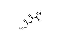 O=C(CC(=O)C(=O)O)NO